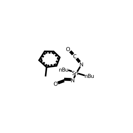 CCC[CH2][Sn]([CH2]CCC)([N]=C=O)[N]=C=O.Cc1ccccc1